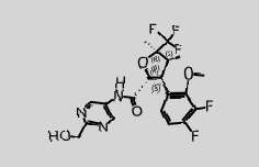 COc1c([C@H]2[C@H](C(=O)Nc3cnc(CO)nc3)O[C@@](C)(C(F)(F)F)[C@H]2C)ccc(F)c1F